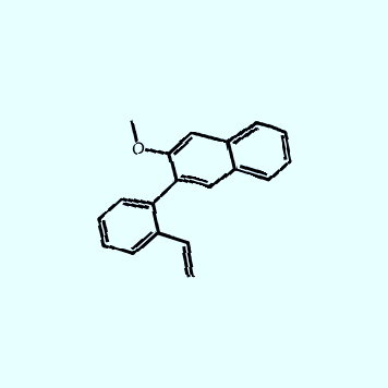 C=Cc1ccccc1-c1cc2ccccc2cc1OC